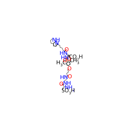 Cc1cc(OCCCC(=O)NCCNC(=O)C(N)CS(=O)(=O)O)cc(C)c1S(=O)(=O)N[C@H](CNC(=O)CCCCc1ccc2c(n1)NCCC2)C(=O)O